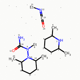 CC1CCCC(C)N1.CCN(C(N)=O)N1C(C)CCCC1C.CCN=C=O